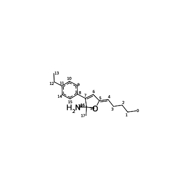 CCCC/C=C1/C=C(c2ccc(CC)cc2)C(C)(N)O1